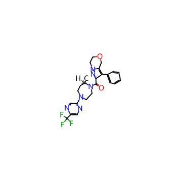 C[C@@H]1CCN(c2cnc(C(F)(F)F)cn2)CCN1C(=O)c1nn2c(c1-c1ccccc1)COCC2